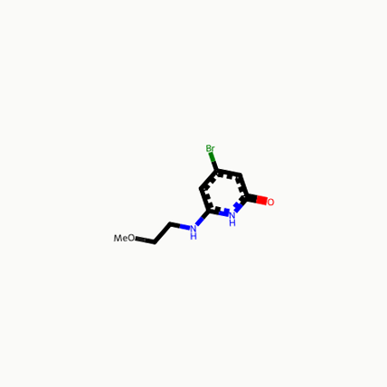 COCCNc1cc(Br)cc(=O)[nH]1